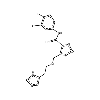 N=C(Nc1ccc(F)c(Cl)c1)c1nonc1CNCCc1cnc[nH]1